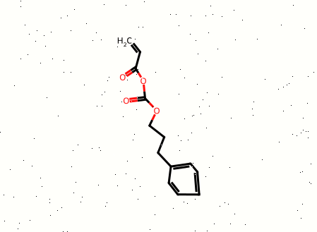 C=CC(=O)OC(=O)OCCCc1ccccc1